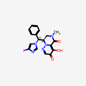 CN1C[C@H]([C@H](c2ccccc2)n2cnc(I)c2)n2ncc(=O)c(O)c2C1=O